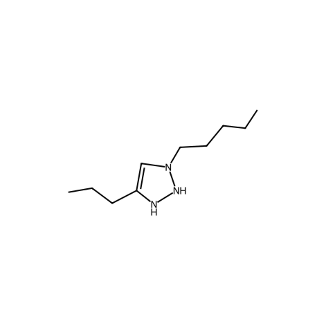 CCCCCN1C=C(CCC)NN1